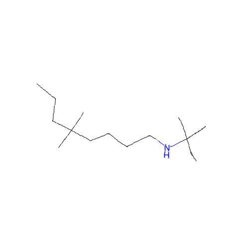 CCCC(C)(C)CCCCNC(C)(C)C